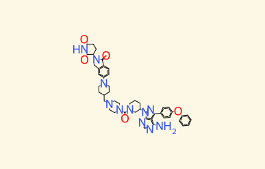 Nc1ncnc2c1c(-c1ccc(Oc3ccccc3)cc1)nn2C1CCCN(C(=O)N2CCN(CC3CCN(c4ccc5c(c4)CN(C4CCC(=O)NC4=O)C5=O)CC3)CC2)C1